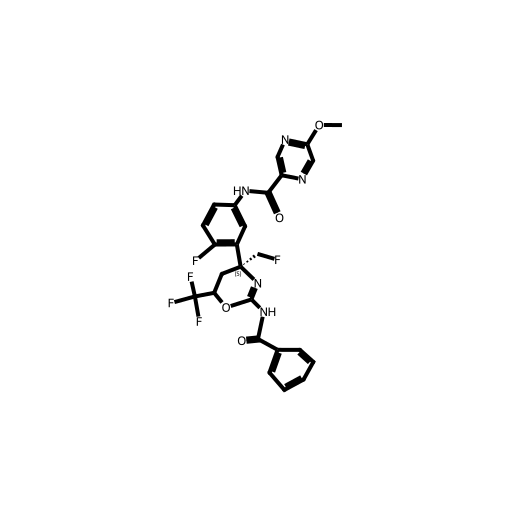 COc1cnc(C(=O)Nc2ccc(F)c([C@]3(CF)CC(C(F)(F)F)OC(NC(=O)c4ccccc4)=N3)c2)cn1